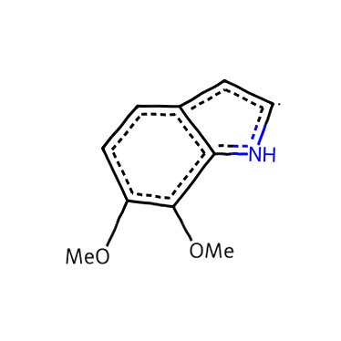 COc1ccc2c[c][nH]c2c1OC